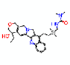 CC[C@@]1(O)COCC2=C1C=C1c3nc4ccccc4c(CC[Si](C)(C)CNC(=O)N(C)C)c3CN1C2